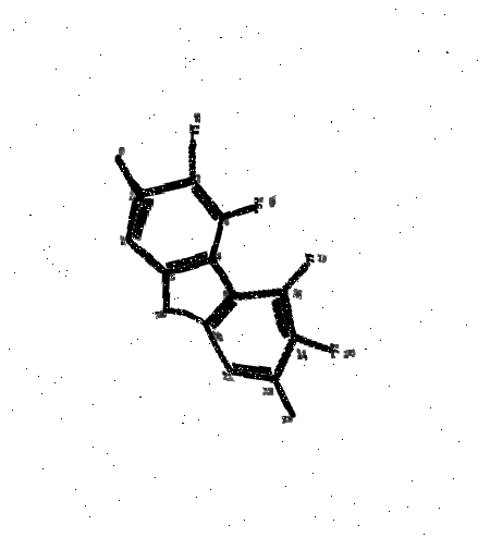 Cc1cc2c(c(F)c1F)-c1c(cc(C)c(F)c1F)C2